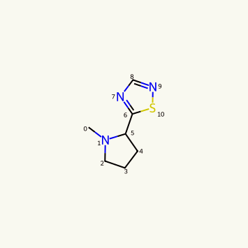 CN1CCCC1c1ncns1